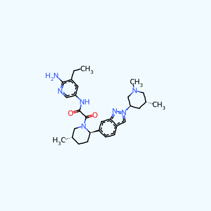 CCc1cc(NC(=O)C(=O)N2C[C@@H](C)CC[C@@H]2c2ccc3cn([C@@H]4C[C@@H](C)CN(C)C4)nc3c2)cnc1N